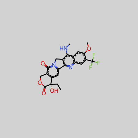 CC[C@@]1(O)C(=O)OCc2c1cc1n(c2=O)Cc2c-1nc1cc(C(F)(F)F)c(OC)cc1c2NC